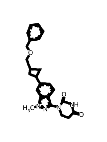 Cn1nc(N2CCC(=O)NC2=O)c2ccc(C3CC(COCc4ccccc4)C3)cc21